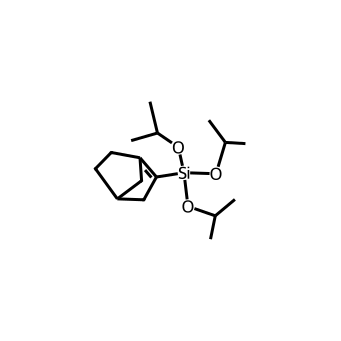 CC(C)O[Si](OC(C)C)(OC(C)C)C1=C2CCC(C2)C1